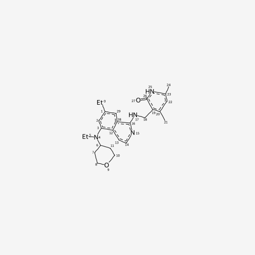 CCc1cc(N(CC)C2CCOCC2)c2ccnc(NCc3c(C)cc(C)[nH]c3=O)c2c1